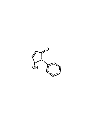 O=C1C=CC(O)N1c1ccccc1